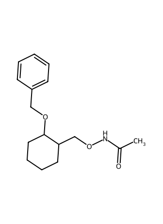 CC(=O)NOCC1CCCCC1OCc1ccccc1